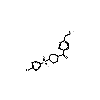 O=C(c1ccc(OCC(F)(F)F)nc1)N1CCC(S(=O)(=O)c2ccc(Cl)cc2)CC1